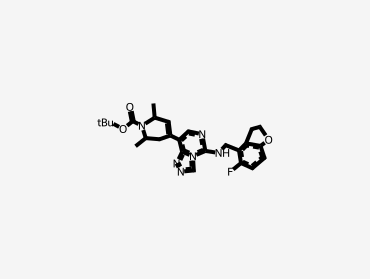 CC1C=C(c2cnc(NCc3c(F)ccc4c3CCO4)n3cnnc23)CC(C)N1C(=O)OC(C)(C)C